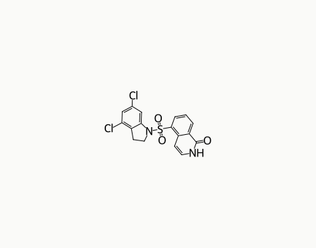 O=c1[nH]ccc2c(S(=O)(=O)N3CCc4c(Cl)cc(Cl)cc43)cccc12